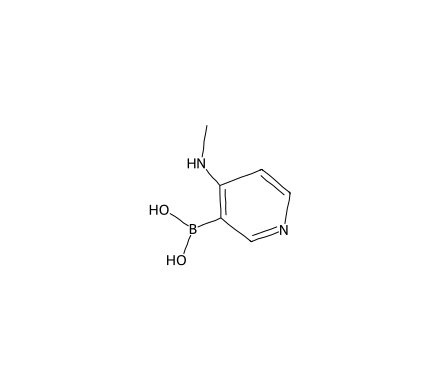 CNc1ccncc1B(O)O